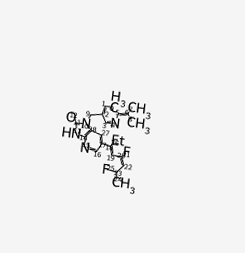 C/C=C(\C=N/C=C(C)C)Cn1c(=O)[nH]c2ncc(/C(=C/C(F)=C\C(C)F)CC)cc21